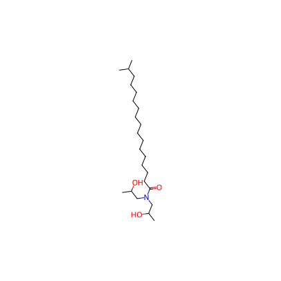 CC(C)CCCCCCCCCCCCCCC(=O)N(CC(C)O)CC(C)O